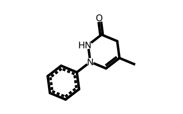 CC1=CN(c2ccccc2)NC(=O)C1